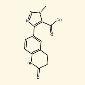 Cn1nnc(-c2ccc3c(c2)CCC(=O)N3)c1C(=O)O